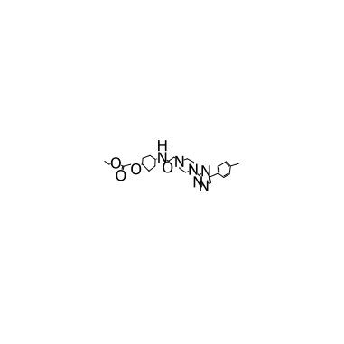 CCOC(=O)CO[C@H]1CC[C@H](NC(=O)CN2CCN(c3nncc(-c4ccc(C)cc4)n3)CC2)CC1